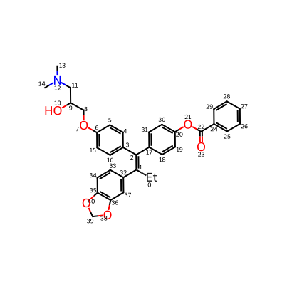 CC/C(=C(/c1ccc(OCC(O)CN(C)C)cc1)c1ccc(OC(=O)c2ccccc2)cc1)c1ccc2c(c1)OCO2